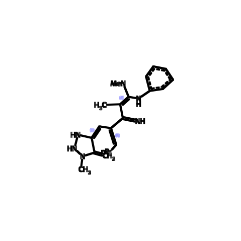 C=C1/C(=C\C(=C/CCC)C(=N)/C(C)=C(/NC)Nc2ccccc2)NNN1C